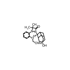 COCOc1ccccc1N1N([C@H]2C3CC4CC2C[C@](O)(C4)C3)C(=O)C1(C)C